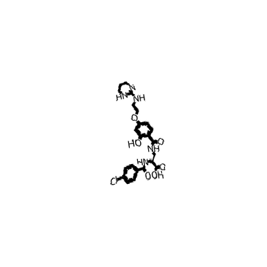 O=C(N[C@@H](CNC(=O)c1ccc(OCCNC2=NCCCN2)cc1O)C(=O)O)c1ccc(Cl)cc1